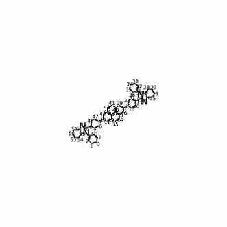 c1ccc(-n2c(-c3ccc(-c4cc5ccc6cc(-c7ccc(-c8nc9ccccc9n8-c8ccccc8)cc7)cc7ccc(c4)c5c67)cc3)nc3ccccc32)cc1